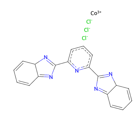 C1=CC2=NC(c3cccc(C4=NC5C=CC=CC5=N4)n3)=NC2C=C1.[Cl-].[Cl-].[Cl-].[Co+3]